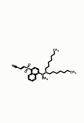 CCCCCCCN(CCCCCCC)N([PH4])c1ccc(S(=O)(=O)C=CC#N)c2ccccc12